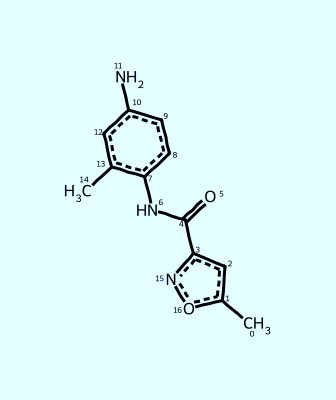 Cc1cc(C(=O)Nc2ccc(N)cc2C)no1